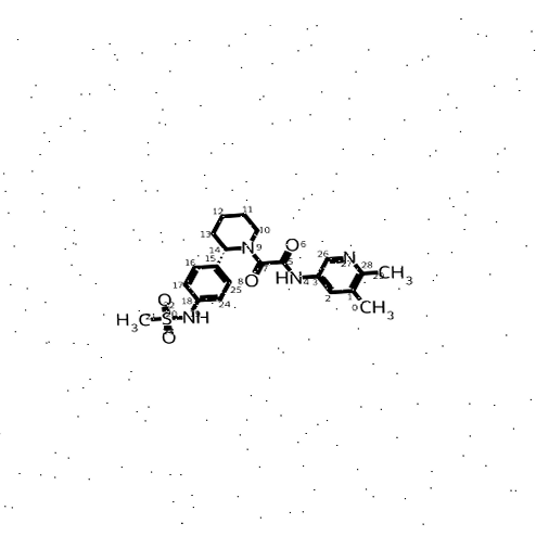 Cc1cc(NC(=O)C(=O)N2CCCC[C@H]2c2ccc(NS(C)(=O)=O)cc2)cnc1C